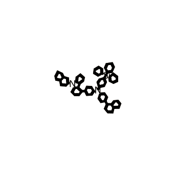 c1ccc([Si](c2ccccc2)(c2ccccc2)c2ccc(N(c3ccc(-c4cccc5ccccc45)cc3)c3ccc(-c4cccc5c4c4ccccc4n5-c4ccc5ccccc5c4)cc3)cc2)cc1